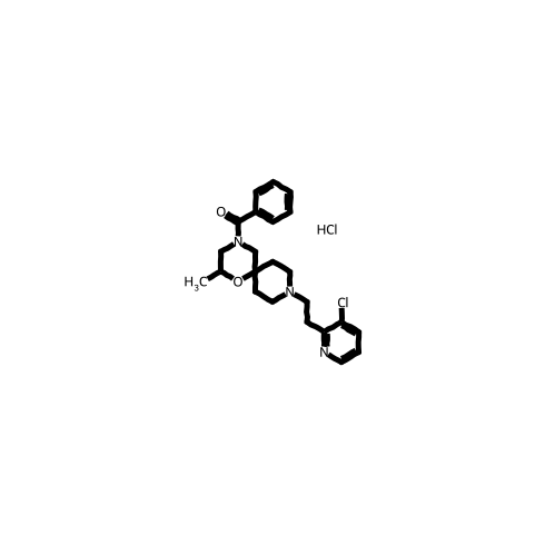 CC1CN(C(=O)c2ccccc2)CC2(CCN(CCc3ncccc3Cl)CC2)O1.Cl